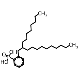 CCCCCCCCCCC(CCCCCCCC)Cc1ccccc1P(=O)(O)O